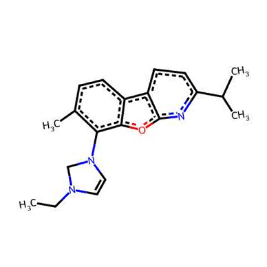 CCN1C=CN(c2c(C)ccc3c2oc2nc(C(C)C)ccc23)C1